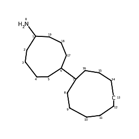 NC1CCCCC(C2CCCCCCCCC2)CCC1